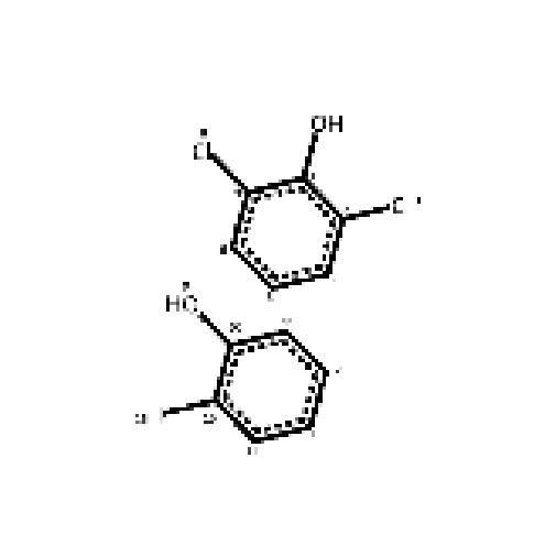 Oc1c(Cl)cccc1Cl.Oc1ccccc1I